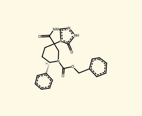 CNC(=O)C1(n2cn[nH]c2=O)CC[C@@H](c2ccccc2)N(C(=O)OCc2ccccc2)C1